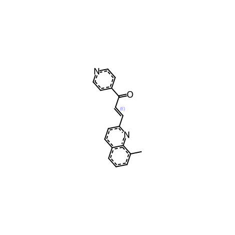 Cc1cccc2ccc(/C=C/C(=O)c3ccncc3)nc12